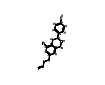 C=CCCc1cc(F)c2c(c1)COC(c1ccc(F)cc1)C2